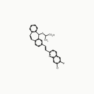 CC(SC1c2ccccc2C=Cc2ccc(/C=C/c3ccc4cc(F)c(Cl)cc4n3)cc21)C(=O)O